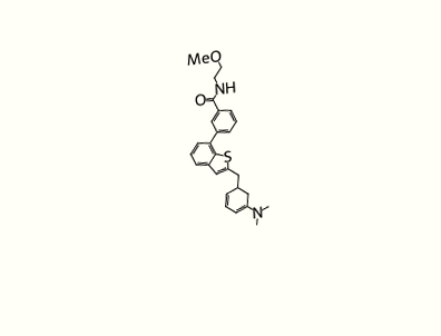 COCCNC(=O)c1cccc(-c2cccc3cc(CC4C=CC=C(N(C)C)C4)sc23)c1